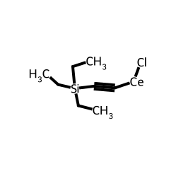 CC[Si](C#[C][Ce][Cl])(CC)CC